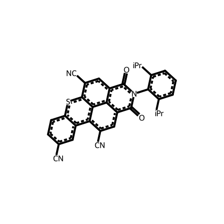 CC(C)c1cccc(C(C)C)c1-n1c(=O)c2cc(C#N)c3sc4ccc(C#N)cc4c4c(C#N)cc(c1=O)c2c34